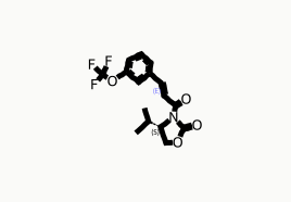 CC(C)[C@H]1COC(=O)N1C(=O)/C=C/c1cccc(OC(F)(F)F)c1